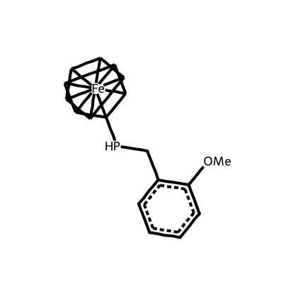 COc1ccccc1CP[C]12[CH]3[CH]4[CH]5[CH]1[Fe]45321678[CH]2[CH]1[CH]6[CH]7[CH]28